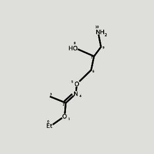 CCO/C(C)=N/OCC(O)CN